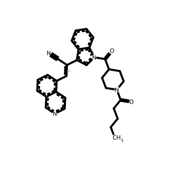 CCCCC(=O)N1CCC(C(=O)n2cc(/C(C#N)=C/c3cccc4cnccc34)c3ccccc32)CC1